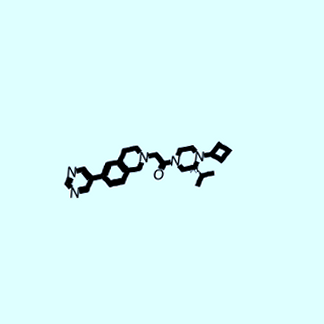 CC(C)[C@@H]1CN(C(=O)CN2CCc3cc(-c4cncnc4)ccc3C2)CCN1C1CCC1